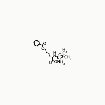 CC(C)(C)OC(=O)N[C@@H](CCCCOC(=O)c1ccccc1)C(=O)O